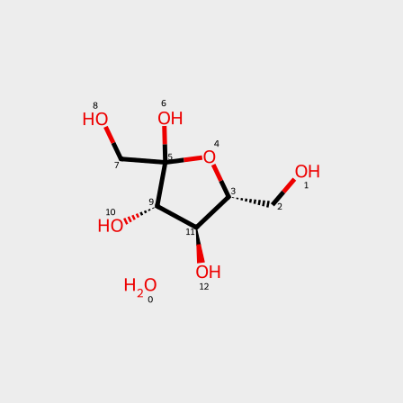 O.OC[C@H]1OC(O)(CO)[C@@H](O)[C@@H]1O